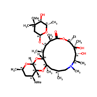 CC[C@H]1OC(=O)[C@H](C)[C@@H](O[C@H]2C[C@@](C)(OC)[C@@H](O)[C@H](C)O2)[C@H](C)[C@H]2O[C@@H]3O[C@H](C)C[C@H](NC)[C@H]3O[C@]2(C)C[C@@H](C)CN(C)[C@H](C)[C@@H](O)[C@]1(C)O